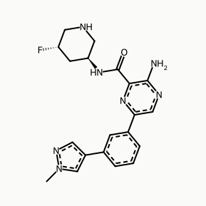 Cn1cc(-c2cccc(-c3cnc(N)c(C(=O)N[C@@H]4CNC[C@@H](F)C4)n3)c2)cn1